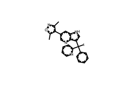 Cc1noc(C)c1-c1cnc2c(C(I)(c3ccccc3)c3ccccn3)c[nH]c2c1